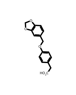 O=C(O)Cc1ccc(OCc2ccc3c(c2)OCO3)cc1